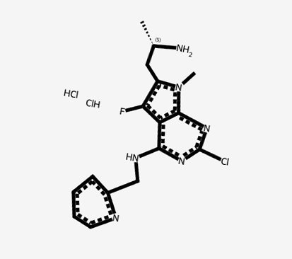 C[C@H](N)Cc1c(F)c2c(NCc3ccccn3)nc(Cl)nc2n1C.Cl.Cl